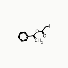 C=C(OC(=O)CI)c1ccccc1